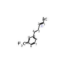 CC(=O)/C=C/CCc1cccc(C(F)(F)F)c1